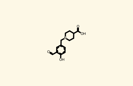 O=Cc1cc(CN2CCC(C(=O)O)CC2)ccc1O